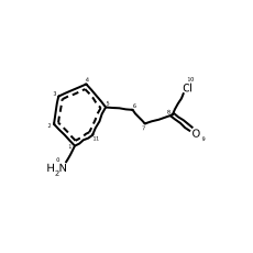 Nc1cccc(CCC(=O)Cl)c1